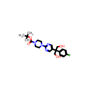 CC(C)(C)OC(=O)N1CCN(c2ncc(C(CO)(CO)c3ccc(F)cc3)cn2)CC1